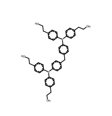 OCCc1ccc(N(c2ccc(CCO)cc2)c2ccc(Cc3ccc(N(c4ccc(CCO)cc4)c4ccc(CCO)cc4)cc3)cc2)cc1